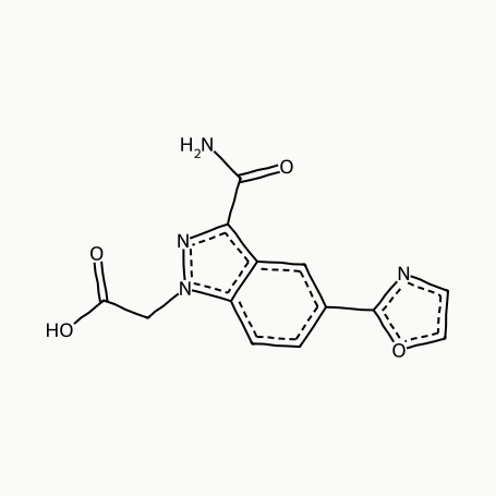 NC(=O)c1nn(CC(=O)O)c2ccc(-c3ncco3)cc12